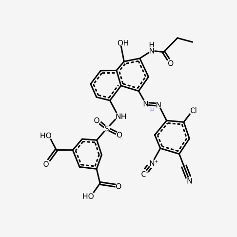 [C-]#[N+]c1cc(/N=N/c2cc(NC(=O)CC)c(O)c3cccc(NS(=O)(=O)c4cc(C(=O)O)cc(C(=O)O)c4)c23)c(Cl)cc1C#N